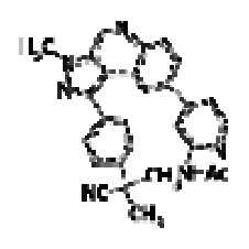 CC(=O)Nc1cc(-c2ccc3ncc4c(c(-c5ccc(C(C)(C)C#N)cc5)nn4C)c3c2)ccn1